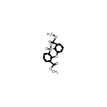 COC(=O)c1cccc2c1Oc1cccc(C(=O)OC)c1[N+]2([O-])[O-]